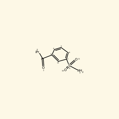 CC(C)C(=O)c1cccc(S(N)(=O)=O)c1